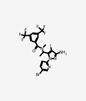 CC(c1c(I)c(N)nn1-c1ccc(Br)cn1)N(C)C(=O)c1cc(C(F)(F)F)cc(C(F)(F)F)c1